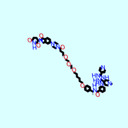 C[C@@H](NC(=O)c1cccc(NC2(C(=N)NC(=N)c3ccncc3)CCN(C)CC2)c1)c1ccc(OCCCCCCOCCOCCOCCCC(=O)N2CCN(c3ccc4c(c3)CN(C3CCC(=O)NC3=O)C4=O)CC2)cc1